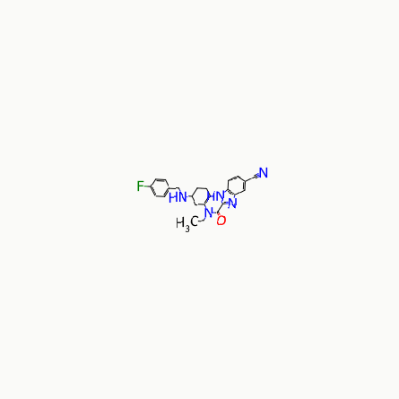 CCN(C(=O)c1nc2cc(C#N)ccc2[nH]1)C1=CCCC(NCc2ccc(F)cc2)C1